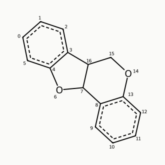 c1ccc2c(c1)OC1c3ccccc3OCC21